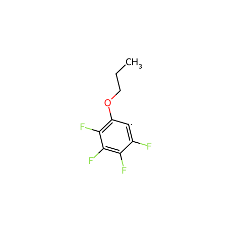 CCCOc1[c]c(F)c(F)c(F)c1F